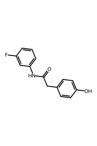 O=C(Cc1ccc(O)cc1)Nc1cccc(F)c1